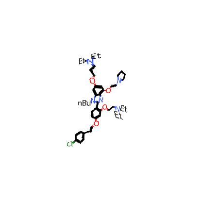 CCCCn1c(-c2ccc(OCCc3ccc(Cl)cc3)cc2OCCN(CC)CC)nc2c(OCCN3CCCC3)cc(OCCCN(CC)CC)cc21